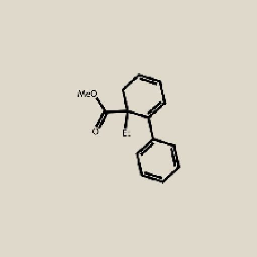 CCC1(C(=O)OC)CC=CC=C1c1ccccc1